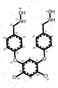 ONCc1ccc(Oc2cc(Oc3ccc(CNO)cc3)c(Cl)cc2Cl)cc1